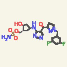 NS(=O)(=O)OC[C@H]1C[C@@H](Nc2ncncc2C(=O)c2ccn(Cc3cc(F)cc(F)c3)n2)C[C@@H]1O